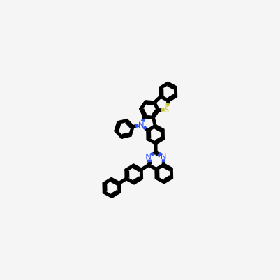 c1ccc(-c2ccc(-c3nc(-c4ccc5c6c7sc8ccccc8c7ccc6n(-c6ccccc6)c5c4)nc4ccccc34)cc2)cc1